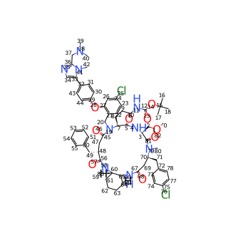 COC[C@@H]1NC(=O)[C@H](CCCNC(=O)OC(C)(C)C)N(Cc2ccc(Cl)cc2Oc2ccc(-c3cnc(CN(C)C)n3C)cc2)C(=O)C[C@@H](Cc2ccccc2)C(=O)N(C)[C@H]2CCCC[C@@H]2NC(=O)C[C@H](Cc2ccc(Cl)cc2)N(C)C1=O